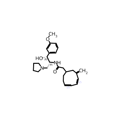 C=C1/C=C\C=C/CCC(CC(=O)N[C@H](CN2CCCC2)[C@H](O)c2cccc(OC)c2)C1